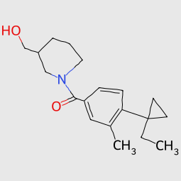 CCC1(c2ccc(C(=O)N3CCCC(CO)C3)cc2C)CC1